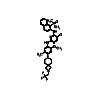 COc1cc(N2CCC3(CC2)CN(CC(F)(F)F)C3)c(C)cc1Nc1ncc(Cl)c(Nc2ccc3ccccc3c2P(C)(C)=O)n1